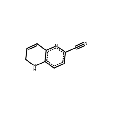 N#Cc1ccc2c(n1)C=CCN2